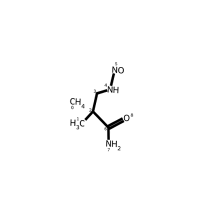 C.CC(CNN=O)C(N)=O